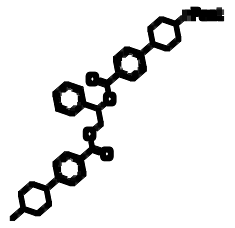 CCCCCC1CCC(c2ccc(C(=O)OC(COC(=O)c3ccc(C4CCC(C)CC4)cc3)c3ccccc3)cc2)CC1